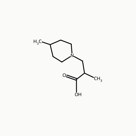 CC1CCN(CC(C)C(=O)O)CC1